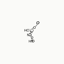 Cl.c1ccc(CCOCC2CCN(c3cncc(OC[C@@H]4CCCN4)c3)CC2)cc1